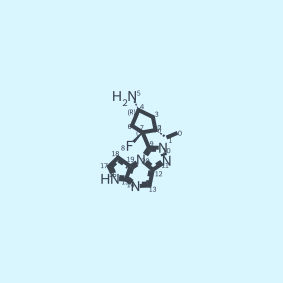 CC[C@H]1C[C@@H](N)C[C@@]1(F)c1nnc2cnc3[nH]ccc3n12